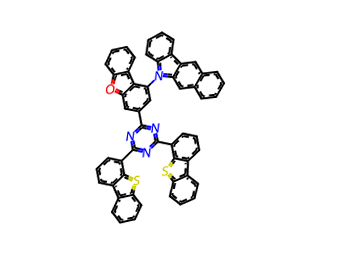 c1ccc2cc3c(cc2c1)c1ccccc1n3-c1cc(-c2nc(-c3cccc4c3sc3ccccc34)nc(-c3cccc4c3sc3ccccc34)n2)cc2oc3ccccc3c12